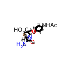 CC(=O)Nc1ccc(OCC2(C(=O)O)CS[C@@H]3C(N)C(=O)N3C2)cc1